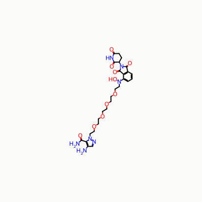 NC(=O)c1c(N)cnn1CCOCCOCCOCCOCCN(O)c1cccc2c1C(=O)N(C1CCC(=O)NC1=O)C2=O